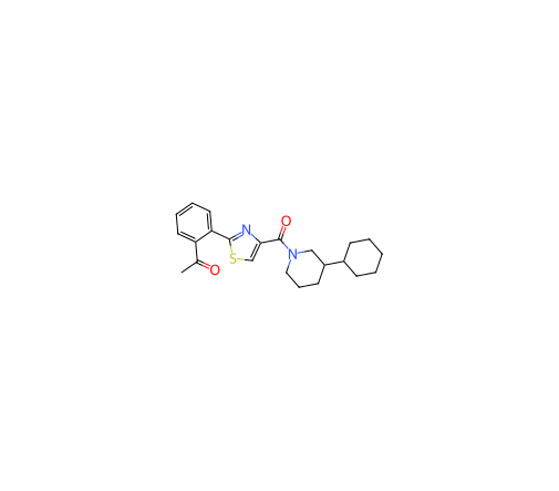 CC(=O)c1ccccc1-c1nc(C(=O)N2CCCC(C3CCCCC3)C2)cs1